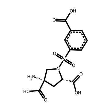 N[C@@]1(C(=O)O)C[C@@H](C(=O)O)N(S(=O)(=O)c2cccc(C(=O)O)c2)C1